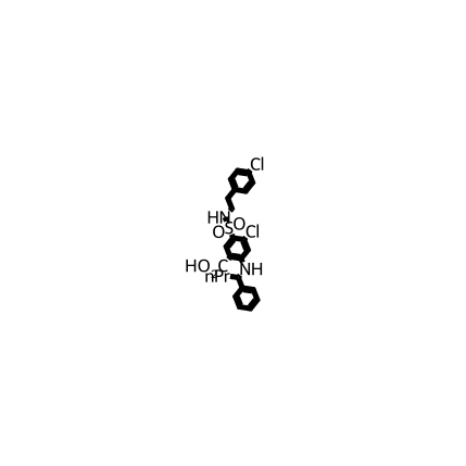 CCCC(Nc1cc(Cl)c(S(=O)(=O)NCCc2ccc(Cl)cc2)cc1C(=O)O)c1ccccc1